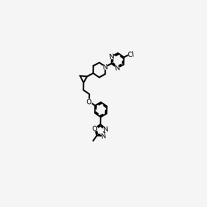 Cc1nnc(-c2cccc(OCCC3CC3C3CCN(c4ncc(Cl)cn4)CC3)c2)o1